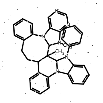 CN1c2ncncc2N2c3ccccc3CCC3c4ccccc4N4c5ccccc5N(c5ccccc5)C4C3(C)C12